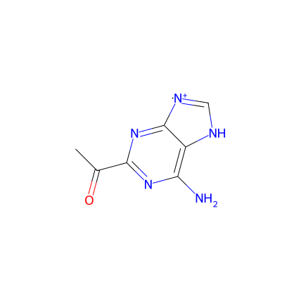 CC(=O)c1nc(N)c2c(n1)[N+]=CN2